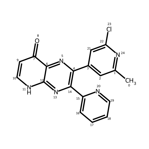 Cc1cc(-c2nc3c(=O)cc[nH]c3nc2-c2ccccn2)cc(Cl)n1